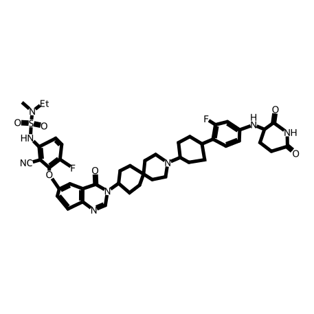 CCN(C)S(=O)(=O)Nc1ccc(F)c(Oc2ccc3ncn(C4CCC5(CC4)CCN(C4CCC(c6ccc(NC7CCC(=O)NC7=O)cc6F)CC4)CC5)c(=O)c3c2)c1C#N